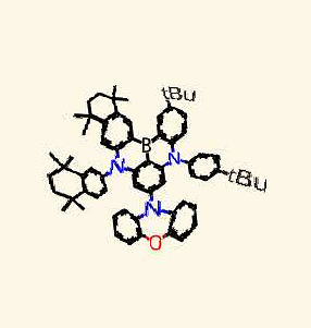 CC(C)(C)c1ccc(N2c3ccc(C(C)(C)C)cc3B3c4cc5c(cc4N(c4ccc6c(c4)C(C)(C)CCC6(C)C)c4cc(N6c7ccccc7Oc7ccccc76)cc2c43)C(C)(C)CCC5(C)C)cc1